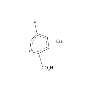 O=C(O)c1ccc(F)cc1.[Cu]